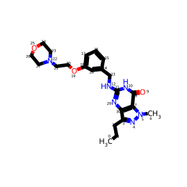 CCCc1nn(C)c2c(=O)[nH]c(NCc3cccc(OCCN4CCOCC4)c3)nc12